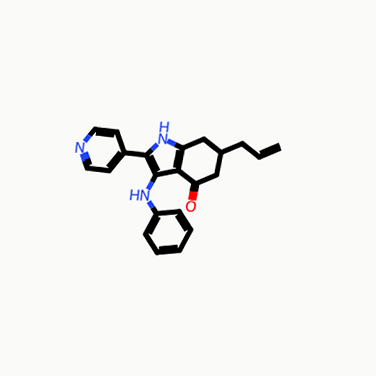 C=CCC1CC(=O)c2c([nH]c(-c3ccncc3)c2Nc2ccccc2)C1